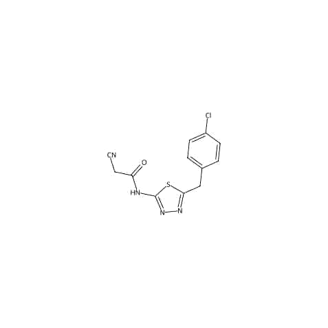 N#CCC(=O)Nc1nnc(Cc2ccc(Cl)cc2)s1